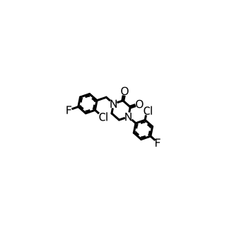 O=C1C(=O)N(c2ccc(F)cc2Cl)CCN1Cc1ccc(F)cc1Cl